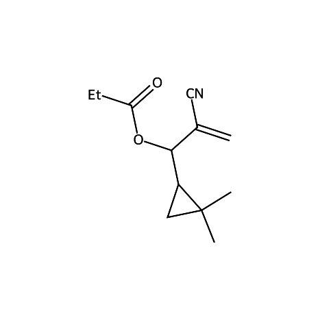 C=C(C#N)C(OC(=O)CC)C1CC1(C)C